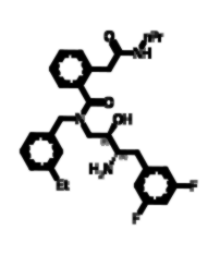 CCCNC(=O)Cc1ccccc1C(=O)N(Cc1cccc(CC)c1)C[C@@H](O)[C@@H](N)Cc1cc(F)cc(F)c1